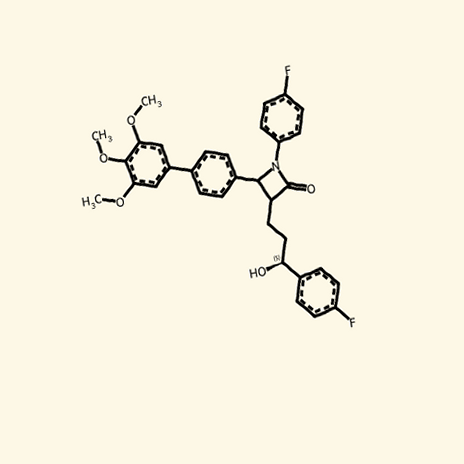 COc1cc(-c2ccc(C3C(CC[C@H](O)c4ccc(F)cc4)C(=O)N3c3ccc(F)cc3)cc2)cc(OC)c1OC